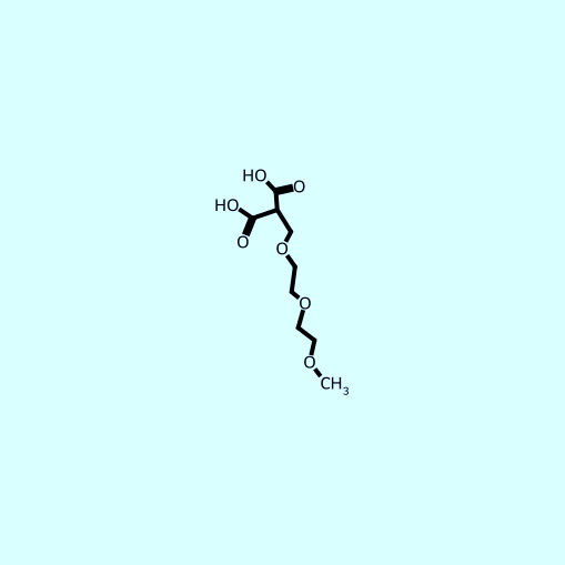 COCCOCCOCC(C(=O)O)C(=O)O